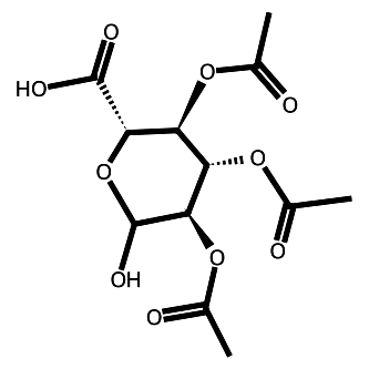 CC(=O)O[C@H]1[C@H](OC(C)=O)[C@@H](OC(C)=O)C(O)O[C@@H]1C(=O)O